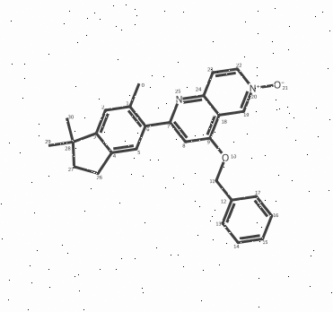 Cc1cc2c(cc1-c1cc(OCc3ccccc3)c3c[n+]([O-])ccc3n1)CCC2(C)C